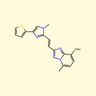 COc1ccc(C)n2nc(C=Cc3nc(-c4cccs4)cn3C)nc12